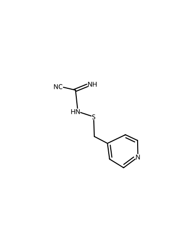 N#CC(=N)NSCc1ccncc1